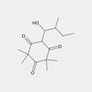 CCC(C)C(O)C1C(=O)C(C)(C)C(=O)C(C)(C)C1=O